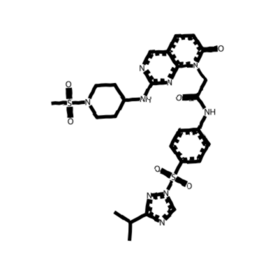 CC(C)c1ncn(S(=O)(=O)c2ccc(NC(=O)Cn3c(=O)ccc4cnc(NC5CCN(S(C)(=O)=O)CC5)nc43)cc2)n1